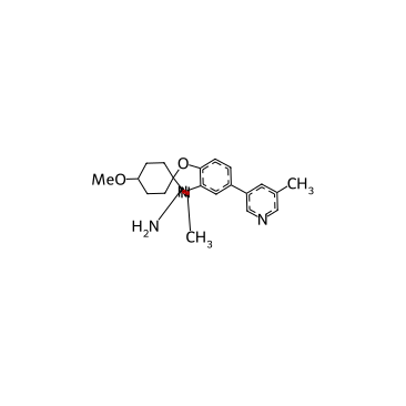 COC1CCC2(CC1)Oc1ccc(-c3cncc(C)c3)cc1C21N=C(C)C(N)=N1